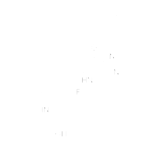 COc1ccc(-n2cnc3c2C(=O)CC(c2ccc(-c4ccccc4CNCCO)cc2F)NC3)cc1